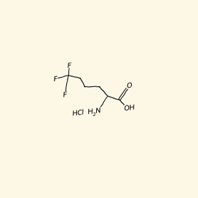 Cl.NC(CCCC(F)(F)F)C(=O)O